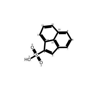 O=S(=O)(O)C1=Cc2cccc3cccc1c23